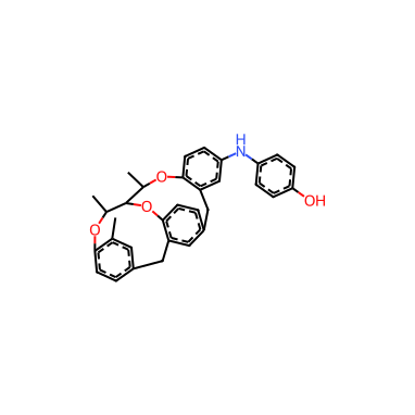 Cc1cc2ccc1OC(C)C1Oc3ccc(cc3C2)Cc2cc(Nc3ccc(O)cc3)ccc2OC1C